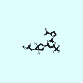 COC(=O)C[C@H]1[C@H]2CN(c3cc(C(F)(F)F)nc(N4CCC4C(F)F)n3)C[C@@H]12